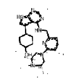 C[C@@H]1CN(c2cccc(CNc3ncnc4[nH]cc(C5CCC(O)CC5)c34)n2)C[C@H](C)N1